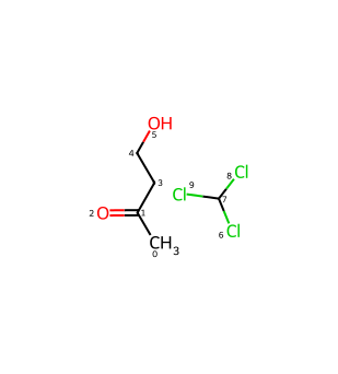 CC(=O)CCO.ClC(Cl)Cl